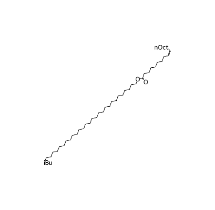 CCCCCCCC/C=C\CCCCCCCC(=O)OCCCCCCCCCCCCCCCCCCCCCCCCCCCCC(C)CC